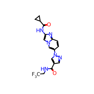 O=C(NCC(F)(F)F)c1cnn(-c2ccc3nc(NC(=O)C4CC4)cn3c2)c1